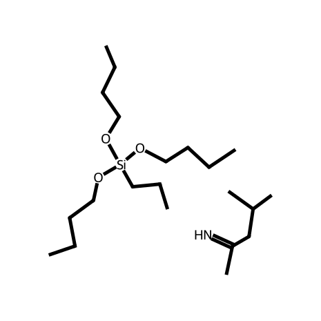 CC(=N)CC(C)C.CCCCO[Si](CCC)(OCCCC)OCCCC